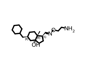 C[C@]12CC[C@H](CC3CCCCC3)C[C@@]1(O)CC[C@@H]2C=NOCCN